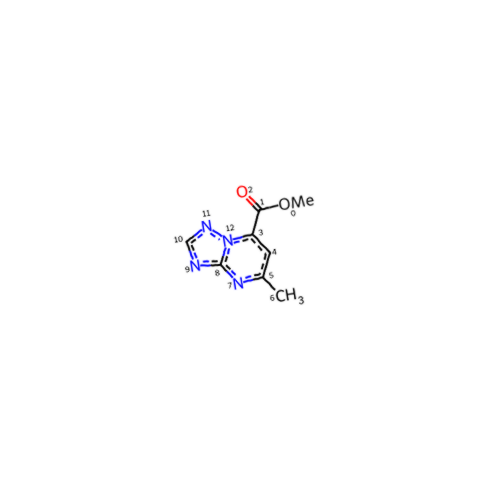 COC(=O)c1cc(C)nc2ncnn12